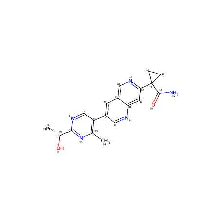 CCC[C@@H](O)c1ncc(-c2cnc3cc(C4(C(N)=O)CC4)ncc3c2)c(C)n1